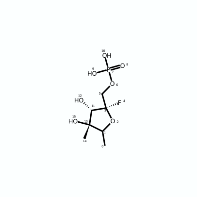 CC1O[C@](F)(COP(=O)(O)O)[C@@H](O)[C@@]1(C)O